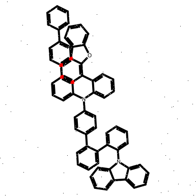 c1ccc(-c2ccc(-c3cccc(N(c4ccc(-c5ccccc5-c5ccccc5-n5c6ccccc6c6ccccc65)cc4)c4ccccc4-c4cccc5c4oc4ccccc45)c3)cc2)cc1